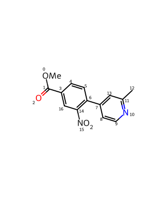 COC(=O)c1ccc(-c2ccnc(C)c2)c([N+](=O)[O-])c1